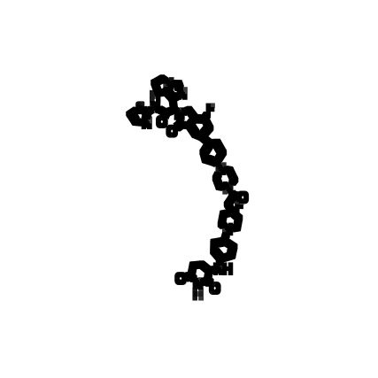 O=C1CCC(Nc2ccc(N3CCC(F)(CC(=O)N4CCN(c5ccc(-c6cc(F)c7c(c6)C(=O)N(C(C(=O)Nc6nccs6)c6ncn8c6CCC8)C7)cc5)CC4)CC3)cc2)C(=O)N1